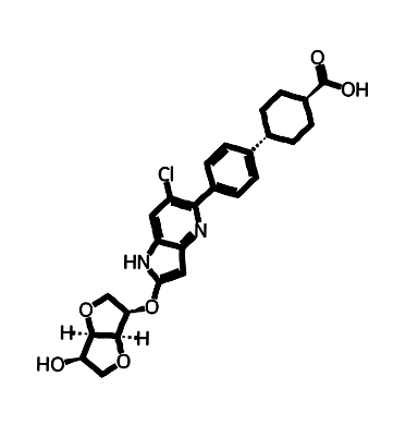 O=C(O)[C@H]1CC[C@H](c2ccc(-c3nc4cc(O[C@@H]5CO[C@H]6[C@@H]5OC[C@H]6O)[nH]c4cc3Cl)cc2)CC1